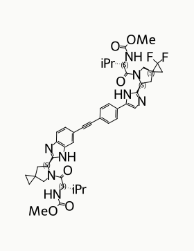 COC(=O)N[C@H](C(=O)N1C[C@]2(C[C@H]1c1ncc(-c3ccc(C#Cc4ccc5nc([C@@H]6CC7(CC7)CN6C(=O)[C@@H](NC(=O)OC)C(C)C)[nH]c5c4)cc3)[nH]1)CC2(F)F)C(C)C